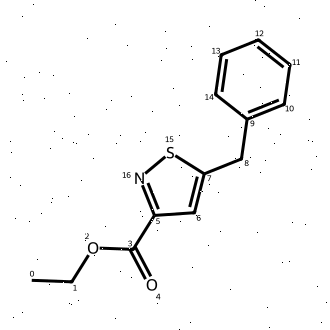 CCOC(=O)c1cc(Cc2ccccc2)sn1